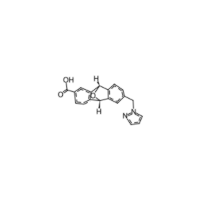 O=C(O)c1ccc2c(c1)[C@H]1O[C@@H]2c2cc(Cn3cccn3)ccc21